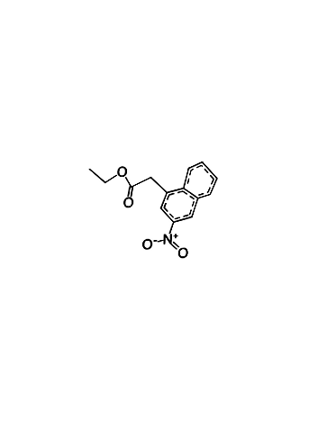 CCOC(=O)Cc1cc([N+](=O)[O-])cc2ccccc12